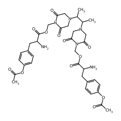 CC(=O)Oc1ccc(CC(N)C(=O)OCN2C(=O)CN(C(C)C(C)N3CC(=O)N(COC(=O)C(N)Cc4ccc(OC(C)=O)cc4)C(=O)C3)CC2=O)cc1